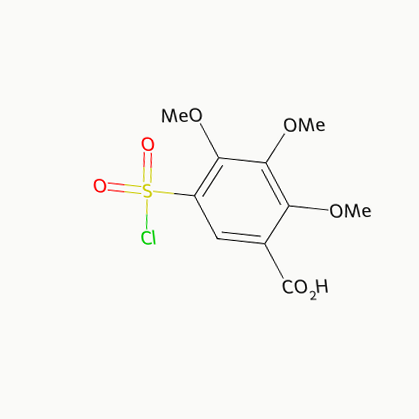 COc1c(C(=O)O)cc(S(=O)(=O)Cl)c(OC)c1OC